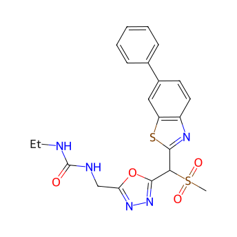 CCNC(=O)NCc1nnc(C(c2nc3ccc(-c4ccccc4)cc3s2)S(C)(=O)=O)o1